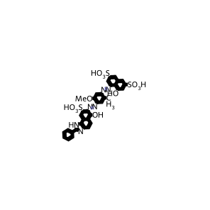 COc1cc(/N=N/c2cc(S(=O)(=O)O)cc3cc(S(=O)(=O)O)cc(O)c23)c(C)cc1/N=N/c1c(S(=O)(=O)O)cc2c(ccc3nc(-c4ccccc4)[nH]c32)c1O